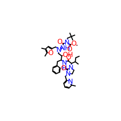 CCC(C)C(C(=O)NC(Cc1ccccc1)C(O)CN(Cc1cc(C)c(C)o1)NC(=O)N(CC(C)(C)C)C(=O)OC)N1CCN(Cc2cccc(C)n2)C1=O